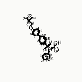 CC1(COc2ccc(-c3ccc(C(C)(C)N(C(=O)O)C4CCN5CCC4CC5)cc3)cc2)COC1